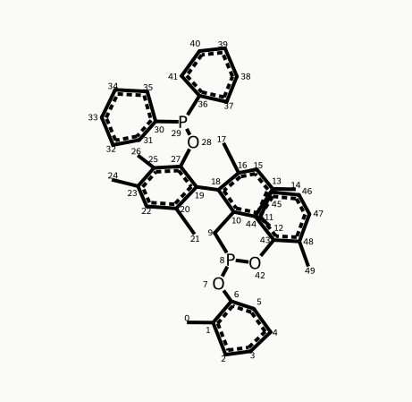 Cc1ccccc1OP(Cc1c(C)c(C)cc(C)c1-c1c(C)cc(C)c(C)c1OP(c1ccccc1)c1ccccc1)Oc1ccccc1C